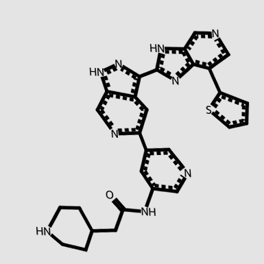 O=C(CC1CCNCC1)Nc1cncc(-c2cc3c(-c4nc5c(-c6cccs6)cncc5[nH]4)n[nH]c3cn2)c1